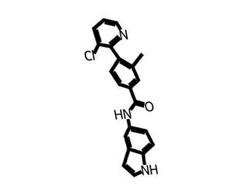 Cc1cc(C(=O)Nc2ccc3[nH]ccc3c2)ccc1-c1ncccc1Cl